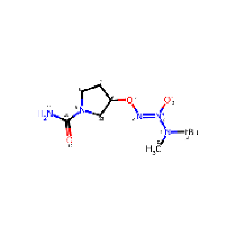 CN(/[N+]([O-])=N/O[C@@H]1CCN(C(N)=O)C1)C(C)(C)C